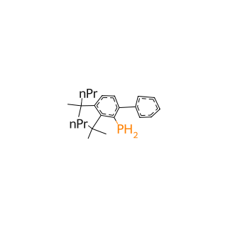 CCCC(C)(C)c1ccc(-c2ccccc2)c(P)c1C(C)(C)CCC